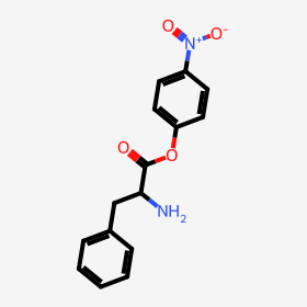 NC(Cc1ccccc1)C(=O)Oc1ccc([N+](=O)[O-])cc1